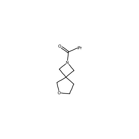 CC(C)C(=O)N1CC2(CCOC2)C1